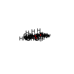 Cn1c(-c2cn(CC3CCC3)nc2C(F)(F)F)cnc1C(=O)Nc1ccc(C(=O)NC2[C@H]3CN(C(=O)N[C@@H]4CNC[C@H]4O)C[C@@H]23)c(Cl)c1.O=CO